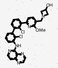 COc1nc(-c2cccc(-c3cccc(Nc4nccc5nccnc45)c3Cl)c2Cl)ccc1CN1CC(O)C1